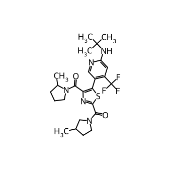 CC1CCN(C(=O)c2nc(C(=O)N3CCCC3C)c(-c3cnc(NC(C)(C)C)cc3C(F)(F)F)s2)C1